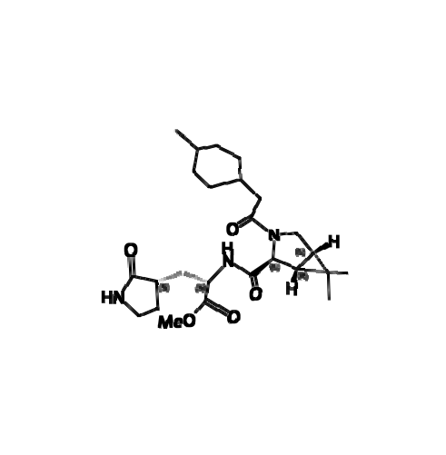 COC(=O)[C@H](C[C@@H]1CCNC1=O)NC(=O)[C@@H]1[C@@H]2[C@H](CN1C(=O)CC1CCC(C)CC1)C2(C)C